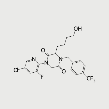 O=C1C(CCCCO)N(Cc2ccc(C(F)(F)F)cc2)C(=O)CN1c1ncc(Cl)cc1F